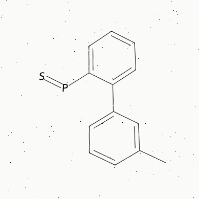 Cc1cccc(-c2ccccc2P=S)c1